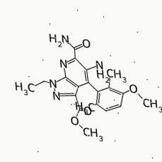 CCn1nc(C(=O)OC)c2c(-c3c(C)ccc(OC)c3C)c(N)c(C(N)=O)nc21